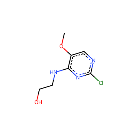 COc1cnc(Cl)nc1NCCO